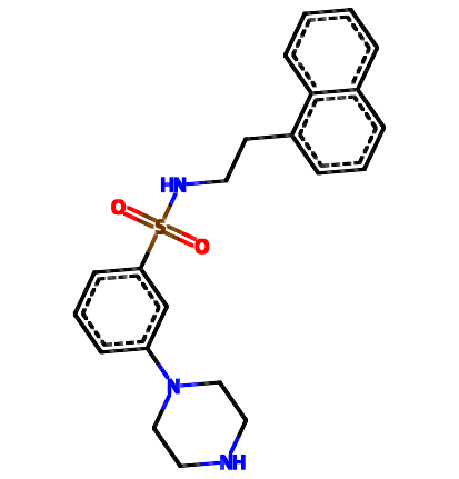 O=S(=O)(NCCc1cccc2ccccc12)c1cccc(N2CCNCC2)c1